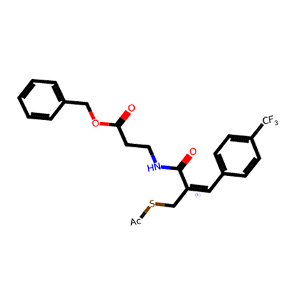 CC(=O)SC/C(=C/c1ccc(C(F)(F)F)cc1)C(=O)NCCC(=O)OCc1ccccc1